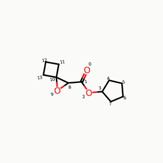 O=C(OC1CCCC1)C1OC12CCC2